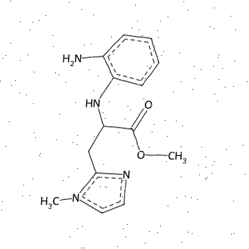 COC(=O)C(Cc1nccn1C)Nc1ccccc1N